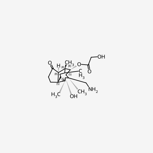 CC1CC[C@@]23CCC(=O)[C@H]2[C@]1(C)[C@H](OC(=O)CO)C[C@@](C)(CN)[C@@H](O)[C@@H]3C